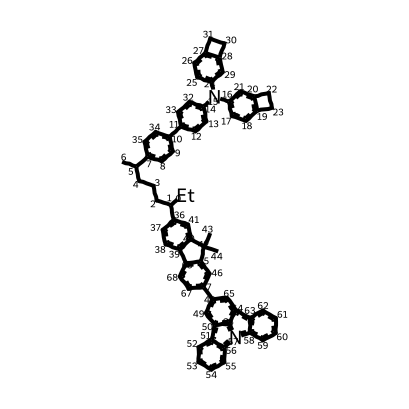 CCC(CCCC(C)c1ccc(-c2ccc(N(c3ccc4c(c3)CC4)c3ccc4c(c3)CC4)cc2)cc1)c1ccc2c(c1)C(C)(C)c1cc(-c3cc4c5ccccc5n5c6ccccc6c(c3)c45)ccc1-2